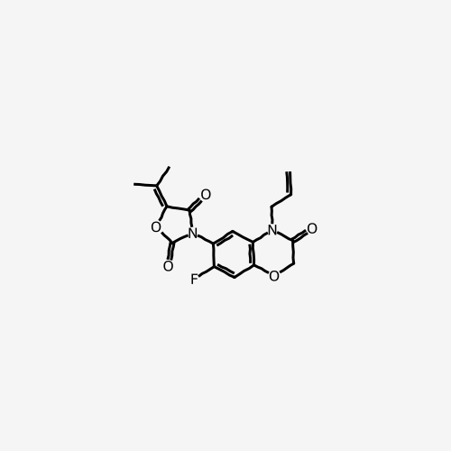 C=CCN1C(=O)COc2cc(F)c(N3C(=O)OC(=C(C)C)C3=O)cc21